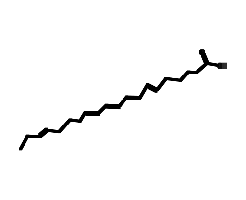 CCC=CCCCC=CC=CC=CC=CCCCCC(=O)O